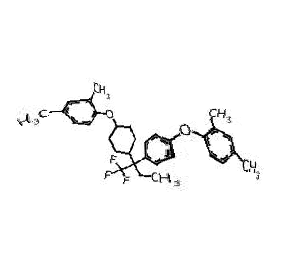 CCC(c1ccc(Oc2ccc(C)cc2C)cc1)(C1CCC(Oc2ccc(C)cc2C)CC1)C(F)(F)F